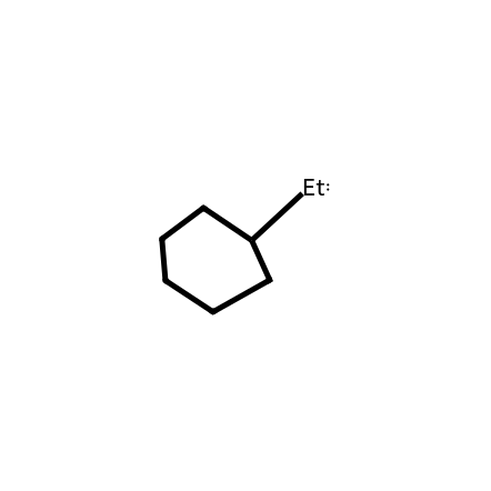 C[C]C1CCCCC1